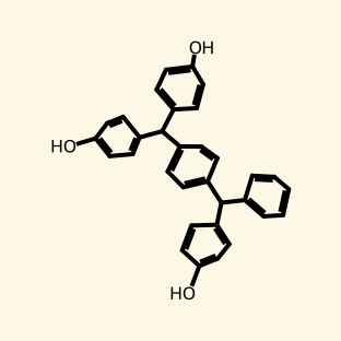 Oc1ccc(C(c2ccccc2)c2ccc(C(c3ccc(O)cc3)c3ccc(O)cc3)cc2)cc1